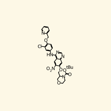 CC(C)(C)OC(=O)N1CCOCC1COc1cc2ncnc(Nc3ccc(OCc4ccccn4)c(Cl)c3)c2cc1[N+](=O)[O-]